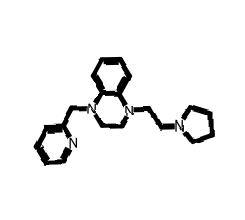 c1ccc(CN2CCN(CCN3CCCC3)c3ccccc32)nc1